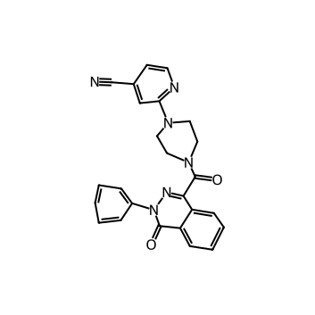 N#Cc1ccnc(N2CCN(C(=O)c3nn(-c4ccccc4)c(=O)c4ccccc34)CC2)c1